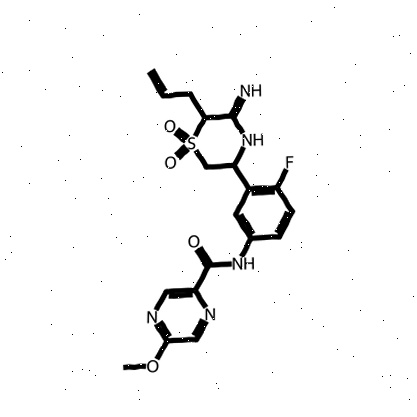 C=CCC1C(=N)NC(c2cc(NC(=O)c3cnc(OC)cn3)ccc2F)CS1(=O)=O